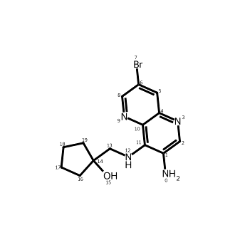 Nc1cnc2cc(Br)cnc2c1NCC1(O)CCCC1